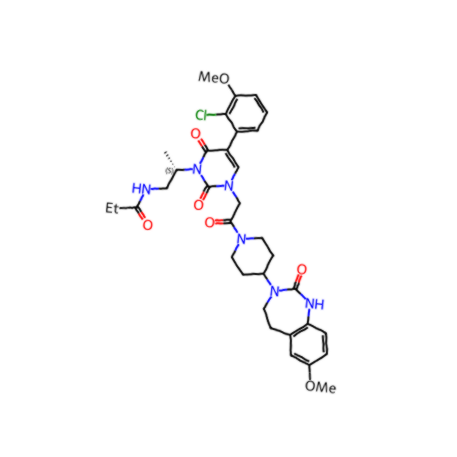 CCC(=O)NC[C@H](C)n1c(=O)c(-c2cccc(OC)c2Cl)cn(CC(=O)N2CCC(N3CCc4cc(OC)ccc4NC3=O)CC2)c1=O